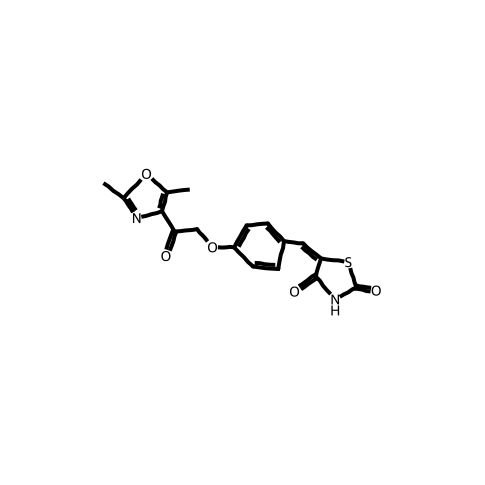 Cc1nc(C(=O)COc2ccc(C=C3SC(=O)NC3=O)cc2)c(C)o1